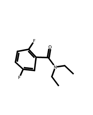 CCN(CC)C(=O)c1cc(F)ccc1F